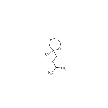 CC(C)OCC1([SiH3])CCCCO1